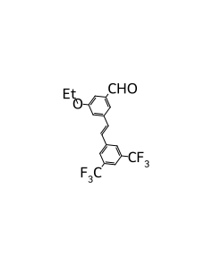 CCOc1cc(C=O)cc(/C=C/c2cc(C(F)(F)F)cc(C(F)(F)F)c2)c1